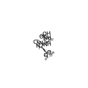 CCOC(C#Cc1cnc(Cl)nc1NC(CNC(=O)O)CC(C)C)OCC